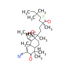 CCC(C)(C)CC[C@@](C)(CCC(C)(C)[C@]1(C)CC[C@H]2C(C)(C)C(=O)C(C#N)=C[C@]2(C)/C1=C/C(C)=O)C(=O)F